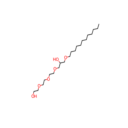 CCCCCCCCCCCCOCC(O)COCCOCCOCCO